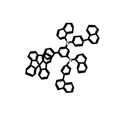 c1ccc2c(c1)-c1ccccc1C21c2ccccc2-c2cccc(-c3ccc(-c4cc(N(c5ccc(-c6cccc7ccccc67)cc5)c5cccc6ccccc56)cc(N(c5ccc(-c6cccc7ccccc67)cc5)c5cccc6ccccc56)c4)cc3)c21